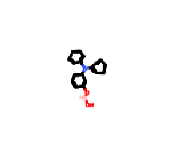 OBOc1cccc(N(c2ccccc2)c2ccccc2)c1